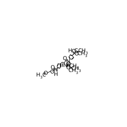 COCCOC(=O)Nc1ccc(CC(NC(=O)OC(C)(C)C)C(=O)Nc2ccc(C(=O)OC(C)(C)C)cc2)cc1